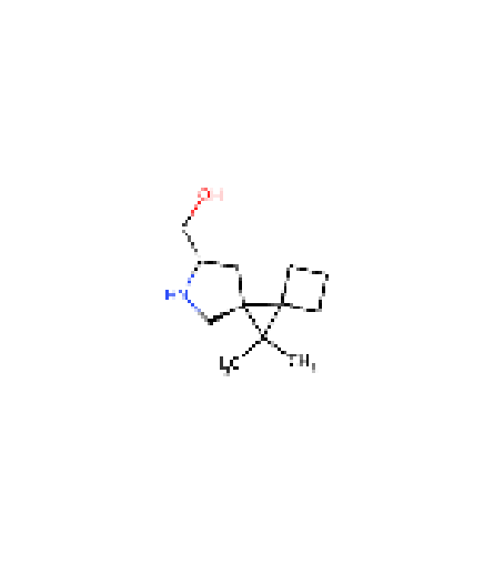 CC1(C)C2(CCC2)[C@]12CN[C@H](CO)C2